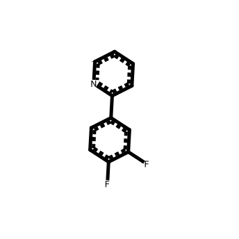 Fc1ccc(-c2ccc[c]n2)cc1F